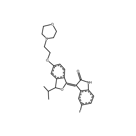 CC(C)C1O/C(=C2/C(=O)Nc3ccc(F)cc32)c2ccc(OCCN3CCOCC3)cc21